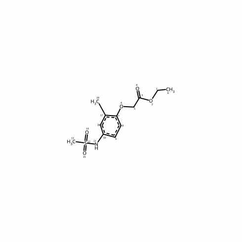 CCOC(=O)COc1ccc(NS(C)(=O)=O)cc1C